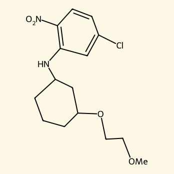 COCCOC1CCCC(Nc2cc(Cl)ccc2[N+](=O)[O-])C1